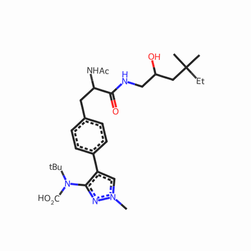 CCC(C)(C)CC(O)CNC(=O)C(Cc1ccc(-c2cn(C)nc2N(C(=O)O)C(C)(C)C)cc1)NC(C)=O